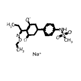 CCO/N=C(/CC)C1=C([O-])CC(c2ccc(NS(C)(=O)=O)cc2)CC1=O.[Na+]